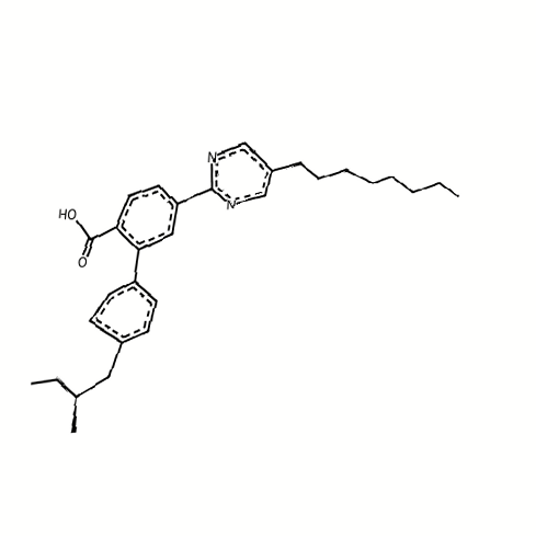 CCCCCCCCc1cnc(-c2ccc(C(=O)O)c(-c3ccc(C[C@@H](C)CC)cc3)c2)nc1